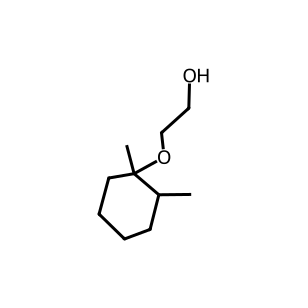 CC1CCCCC1(C)OCCO